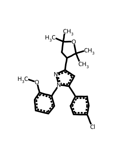 COc1ccccc1-n1nc(C2CC(C)(C)OC2(C)C)cc1-c1ccc(Cl)cc1